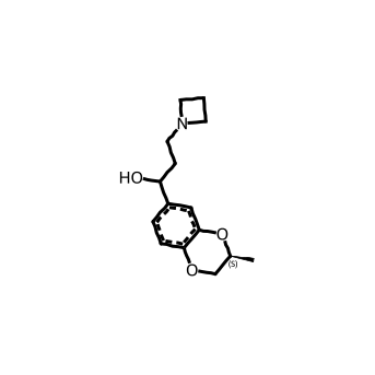 C[C@H]1COc2ccc(C(O)CCN3CCC3)cc2O1